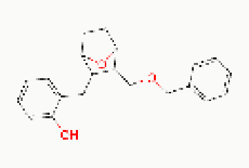 Oc1ccccc1CC1C2CCC(O2)C1COCc1ccccc1